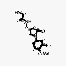 CNc1ccc(N2C[C@H](CNC(=O)CS)OC2=O)cc1F